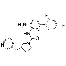 Nc1ccc(-c2ccc(F)cc2F)nc1NC(=O)N1CCC(Cc2cccnc2)C1